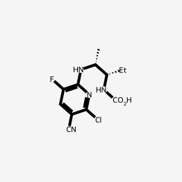 CC[C@H](NC(=O)O)[C@@H](C)Nc1nc(Cl)c(C#N)cc1F